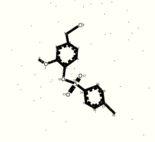 COc1cc(CCl)ccc1OS(=O)(=O)c1ccc(C)cc1